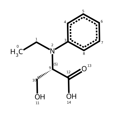 CCN(c1ccccc1)[C@@H](CO)C(=O)O